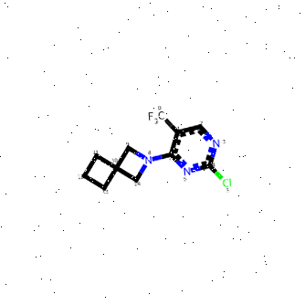 FC(F)(F)c1cnc(Cl)nc1N1CC2(CCC2)C1